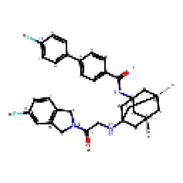 O=C(NC12C[C@@H]3C[C@@H](CC(NCC(=O)N4Cc5ccc(F)cc5C4)(C3)C1)C2)c1ccc(-c2ccc(F)cc2)cc1